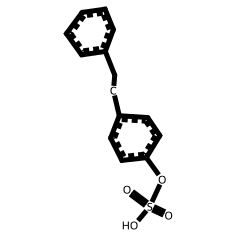 O=S(=O)(O)Oc1ccc(CCc2ccccc2)cc1